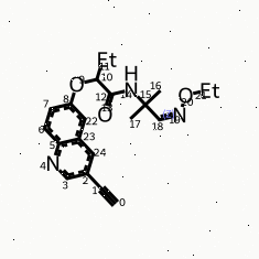 C#Cc1cnc2ccc(OC(CC)C(=O)NC(C)(C)/C=N\OCC)cc2c1